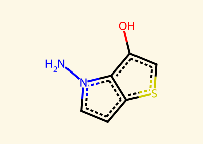 Nn1ccc2scc(O)c21